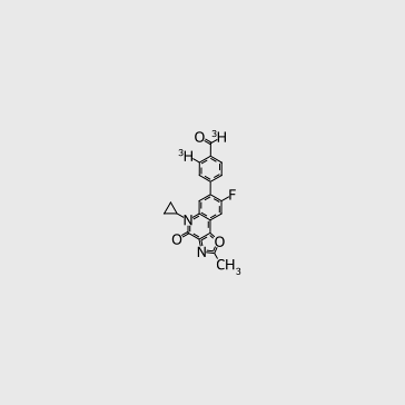 [3H]C(=O)c1ccc(-c2cc3c(cc2F)c2oc(C)nc2c(=O)n3C2CC2)cc1[3H]